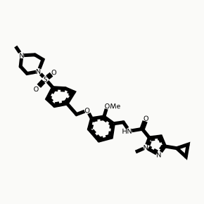 COc1c(CNC(=O)c2cc(C3CC3)nn2C)cccc1OCc1ccc(S(=O)(=O)N2CCN(C)CC2)cc1